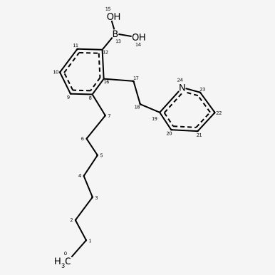 CCCCCCCCc1cccc(B(O)O)c1CCc1ccccn1